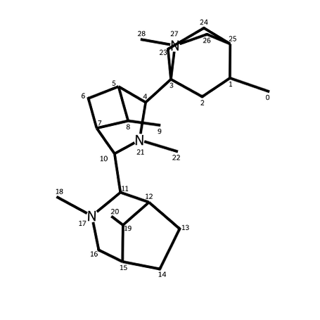 CC1CC2(C3C4CC(C4C)C(C4C5CCC(CN4C)C5C)N3C)CCC1CN2C